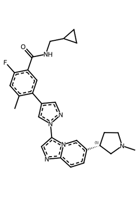 Cc1cc(F)c(C(=O)NCC2CC2)cc1-c1cnn(-c2cnc3ccc([C@@H]4CCN(C)C4)cn23)c1